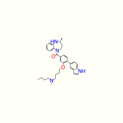 CCCCN(C)CCCCOc1cc(C(=O)N2CC[C@H](C)Nc3ccccc32)ccc1-c1ccc2[nH]ccc2c1